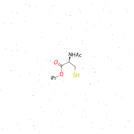 CC(=O)N[C@@H](CS)C(=O)OC(C)C